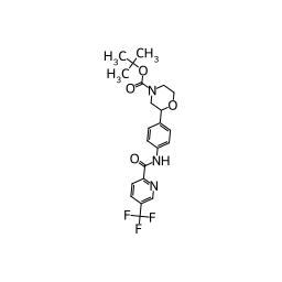 CC(C)(C)OC(=O)N1CCOC(c2ccc(NC(=O)c3ccc(C(F)(F)F)cn3)cc2)C1